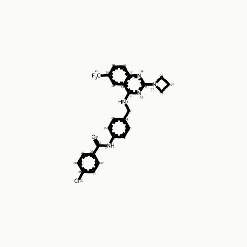 O=C(Nc1ccc(CNc2nc(N3CCC3)nc3ccc(C(F)(F)F)cc23)cc1)c1ccc(Cl)cc1